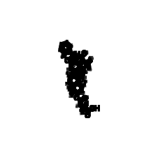 Cc1ccccc1NC(=O)[C@@]12CC[C@]3(C)[C@H](CCC4[C@@]5(C)CC[C@H](OC(=O)CC(C)(C)C(=O)O)C(C)(C)C5CC[C@]43C)C1=C(C(C)C)C(=O)C2